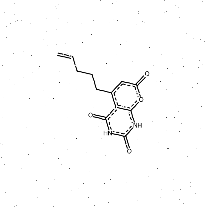 C=CCCCc1cc(=O)oc2[nH]c(=O)[nH]c(=O)c12